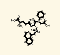 N[C@@H](CCC(=O)N[C@@H](CS(=O)(=O)Cc1nccc2ccccc12)C(=O)N(CC(=O)O)c1ccccc1)C(=O)O